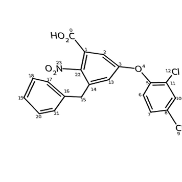 O=C(O)c1cc(Oc2ccc(C(F)(F)F)cc2Cl)cc(Cc2ccccc2)c1[N+](=O)[O-]